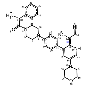 C[C@@H](C(=O)N1CCN(c2ccc(C3=CC(N4CCOCC4)=CN/C3=C(/C#N)C=N)cn2)CC1)c1ccccc1